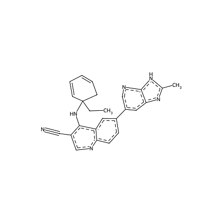 CCC1(Nc2c(C#N)cnc3ccc(-c4cnc5[nH]c(C)nc5c4)cc23)C=CC=CC1